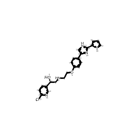 O[C@@H](CNCCOc1ccc(-c2c[nH]c(-c3cccs3)n2)cc1)c1ccc(Cl)nc1